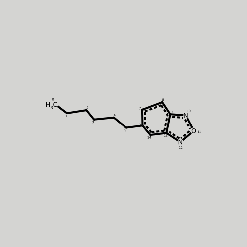 CCCCCCc1ccc2nonc2c1